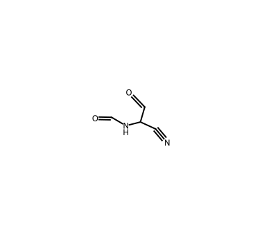 N#CC(C=O)NC=O